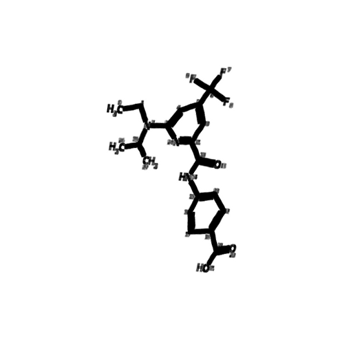 CCN(c1cc(C(F)(F)F)cc(C(=O)Nc2ccc(C(=O)O)cc2)n1)C(C)C